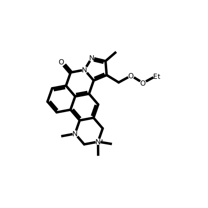 CCOOCc1c(C)nn2c(=O)c3cccc4c5c(cc(c43)c12)C[N+](C)(C)CN5C